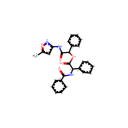 Cc1cc(NC(=O)C(OC(=O)C(NC(=O)c2ccccc2)c2ccccc2)c2ccccc2)no1